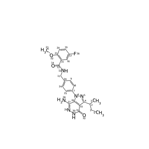 CCC(C)c1nn(-c2ccc(CNC(=O)c3cc(F)ccc3OC)cc2)c2c(N)n[nH]c(=O)c12